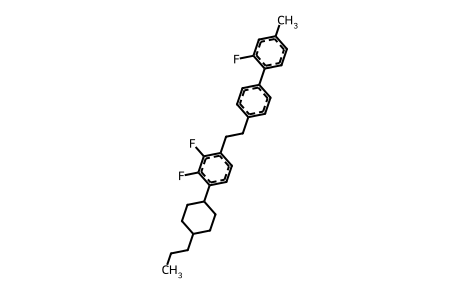 CCCC1CCC(c2ccc(CCc3ccc(-c4ccc(C)cc4F)cc3)c(F)c2F)CC1